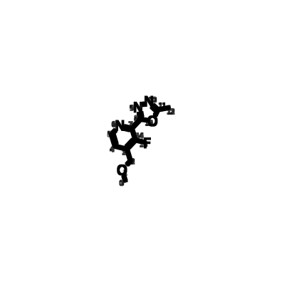 COCc1ccnc(-c2nnc(C)o2)c1F